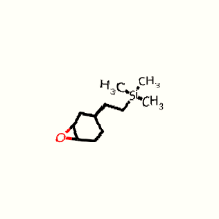 C[Si](C)(C)CCC1CCC2OC2C1